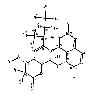 [2H]O[C@@H]1CC(CC[C@@H]2[C@@H]3C(=C[C@H](C)C[C@@H]3OC(=O)[C@@]([2H])(C([2H])([2H])[2H])C([2H])([2H])C([2H])([2H])[2H])C=C[C@@H]2C)OC(=O)C1([2H])[2H]